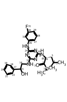 COC(=O)[C@@H](CC(C)C)Nc1nc(NCC(O)c2ccccc2)nc(Nc2cccc(F)c2)n1